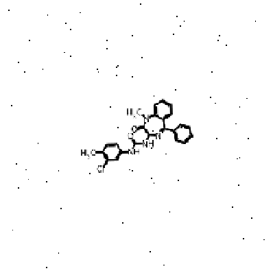 Cc1ccc(NC(=O)NC2N=C(c3ccccc3)c3ccccc3N(C)C2=O)cc1Cl